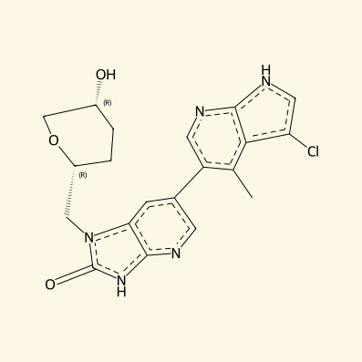 Cc1c(-c2cnc3[nH]c(=O)n(C[C@H]4CC[C@@H](O)CO4)c3c2)cnc2[nH]cc(Cl)c12